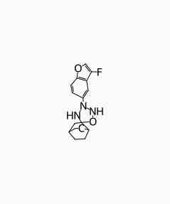 Fc1coc2ccc(N3NOC4(CC5CCC4CC5)N3)cc12